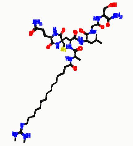 CNC(=NCCCCCCCCCCCCCCC(=O)NC(C)C(=O)NC(CC1(CS)NC(=O)C(CCC(N)=O)NC1=O)C(=O)NC(CC(C)C)C(=O)NCC(=O)NC(CO)C(N)=O)NC